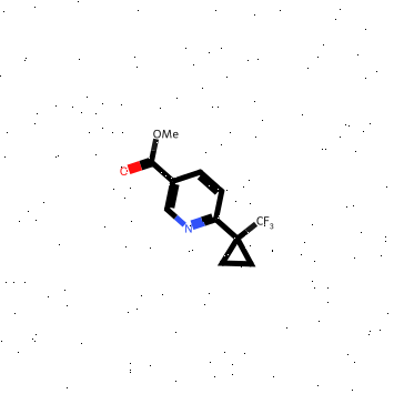 COC(=O)c1ccc(C2(C(F)(F)F)CC2)nc1